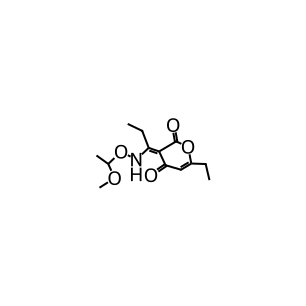 CCC1=CC(=O)C(=C(CC)NOC(C)OC)C(=O)O1